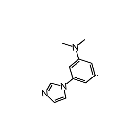 CN(C)c1c[c]cc(-n2ccnc2)c1